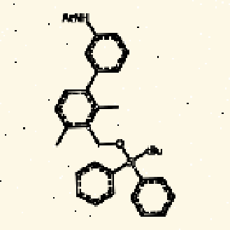 CC(=O)Nc1cccc(-c2ccc(C)c(CO[Si](c3ccccc3)(c3ccccc3)C(C)(C)C)c2C)c1